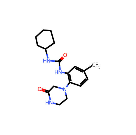 O=C1CN(c2ccc(C(F)(F)F)cc2NC(=O)NC2CCCCC2)CCN1